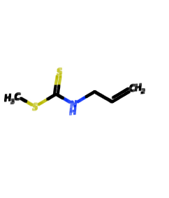 C=CCNC(=S)SC